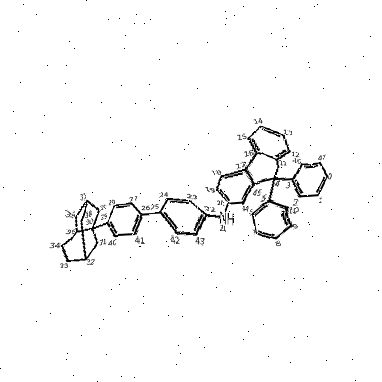 c1ccc(C2(c3ccccc3)c3ccccc3-c3ccc(Nc4ccc(-c5ccc(C67CC8CCC6CC(C8)C7)cc5)cc4)cc32)cc1